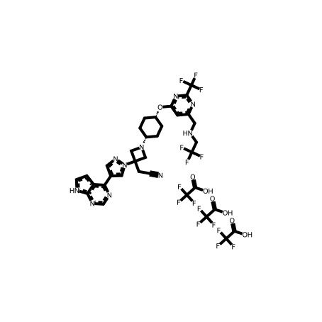 N#CCC1(n2cc(-c3ncnc4[nH]ccc34)cn2)CN([C@H]2CC[C@@H](Oc3cc(CNCC(F)(F)F)nc(C(F)(F)F)n3)CC2)C1.O=C(O)C(F)(F)F.O=C(O)C(F)(F)F.O=C(O)C(F)(F)F